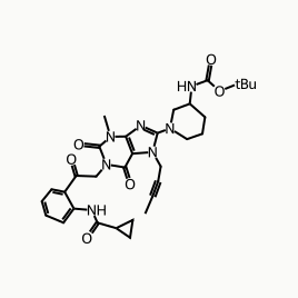 CC#CCn1c(N2CCCC(NC(=O)OC(C)(C)C)C2)nc2c1c(=O)n(CC(=O)c1ccccc1NC(=O)C1CC1)c(=O)n2C